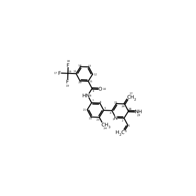 C=CC1=NC(c2cc(NC(=O)c3cccc(C(F)(F)F)c3)ccc2C)=CC(=C)C1=N